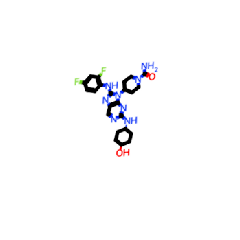 NC(=O)N1CCC(n2c(Nc3ccc(F)cc3F)nc3cnc(N[C@H]4CC[C@H](O)CC4)nc32)CC1